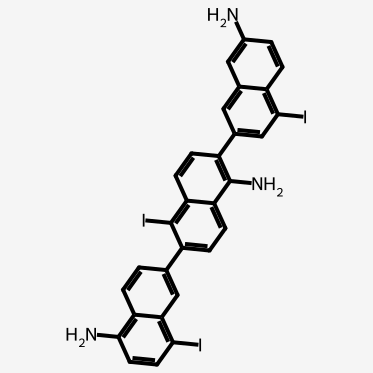 Nc1ccc2c(I)cc(-c3ccc4c(I)c(-c5ccc6c(N)ccc(I)c6c5)ccc4c3N)cc2c1